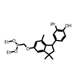 CCOP(COc1cc(C)c2c(c1)C(C)(C)CC2c1ccc(O)c(C(C)C)c1)OCC